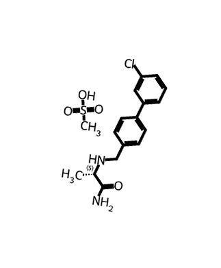 CS(=O)(=O)O.C[C@H](NCc1ccc(-c2cccc(Cl)c2)cc1)C(N)=O